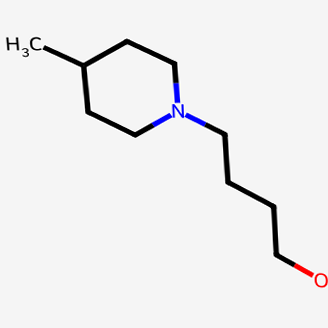 CC1CCN(CCCC[O])CC1